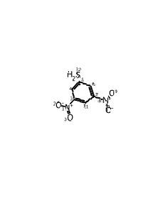 O=[N+]([O-])c1cccc([N+](=O)[O-])c1.S